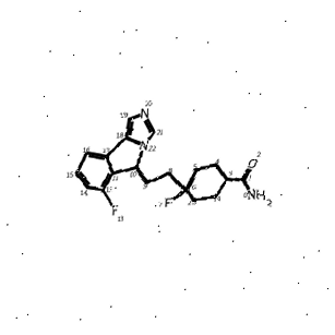 NC(=O)C1CCC(F)(CCC2c3c(F)cccc3-c3cncn32)CC1